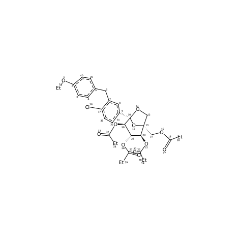 CCOc1ccc(Cc2cc([C@]34OC[C@](COC(=O)CC)(O3)[C@@H](OC(=O)CC)[C@H](OC(=O)CC)[C@H]4OC(=O)CC)ccc2Cl)cc1